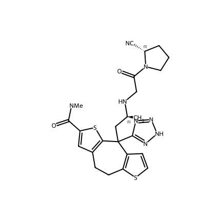 CNC(=O)c1cc2c(s1)C(C[C@H](C)NCC(=O)N1CCC[C@H]1C#N)(c1nn[nH]n1)c1ccsc1CC2